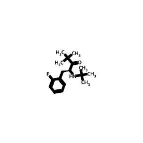 CC(C)(C)N[C@@H](Cc1ccccc1F)C(=O)C(C)(C)C